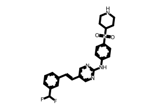 O=S(=O)(c1ccc(Nc2ncc(C=Cc3cccc(C(F)F)c3)cn2)cc1)C1CCNCC1